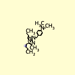 C=C/C=C\c1c(C)nc(NCc2ccc(N(CC)CC)cc2)n1CCCC